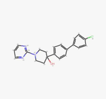 OC1(c2ccc(-c3ccc(Cl)cc3)cc2)CCN(c2ncccn2)CC1